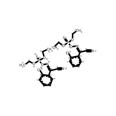 CCOP(=S)(OCC)O/N=C(/C#N)c1ccccc1Cl.CCOP(=S)(OCC)O/N=C(/C#N)c1ccccc1Cl